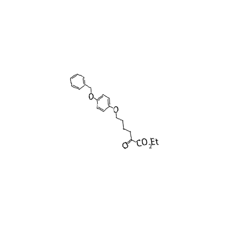 CCOC(=O)C(=O)CCCCOc1ccc(OCc2ccccc2)cc1